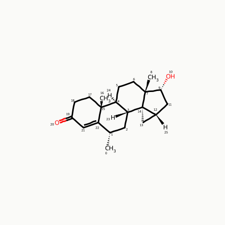 C[C@H]1C[C@@H]2[C@H](CC[C@]3(C)[C@H](O)C[C@@H]4C[C@]423)[C@@]2(C)CCC(=O)C=C12